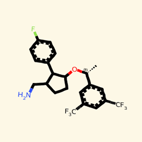 C[C@@H](OC1CCC(CN)C1c1ccc(F)cc1)c1cc(C(F)(F)F)cc(C(F)(F)F)c1